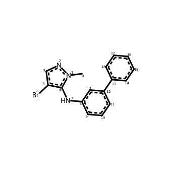 Cn1ncc(Br)c1Nc1cccc(-c2ccccc2)c1